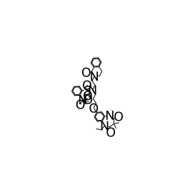 CCN1C(=O)C(C)(C)C(=O)N(C)c2cc(OCCCN(CCN3CCc4ccccc4C3=O)S(=O)(=O)c3ccccc3[N+](=O)[O-])ccc21